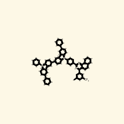 Cc1cc(-c2nc(-c3ccc(-n4c5ccc(-c6ccccc6)cc5c5cc(-c6ccc7c(c6)c6cc(-c8ccccc8)ccc6n7-c6ccccc6)ccc54)cc3)nc3c2ccc2ccccc23)cc(C(F)(F)F)c1